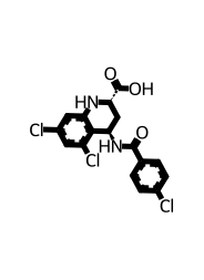 O=C(N[C@@H]1C[C@@H](C(=O)O)Nc2cc(Cl)cc(Cl)c21)c1ccc(Cl)cc1